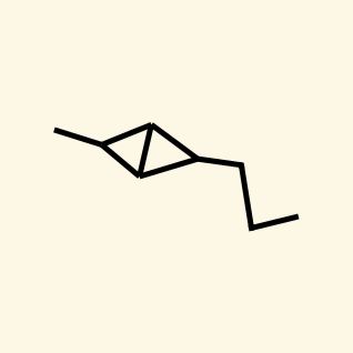 CCCC1C2C(C)C12